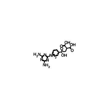 Nc1nc(N)nc(N)n1.O=C(O)C(CP(=O)(O)c1ccccc1)C(=O)O